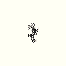 Cc1nc2cc(Nc3cccc(S(=O)(=O)NC(=O)c4cccnc4N4CC(C)CC4(C)C)n3)ccc2s1